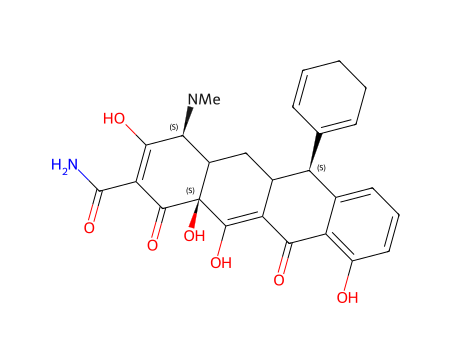 CN[C@@H]1C(O)=C(C(N)=O)C(=O)[C@@]2(O)C(O)=C3C(=O)c4c(O)cccc4[C@H](C4=CCCC=C4)C3CC12